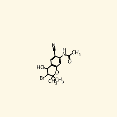 CC(=O)Nc1cc2c(cc1C#N)C(O)C(Br)C(C)(C)O2